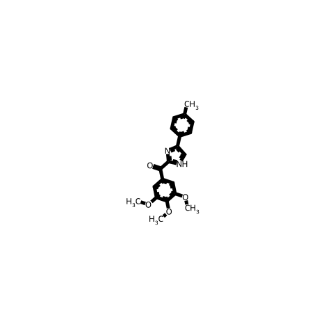 COc1cc(C(=O)c2nc(-c3ccc(C)cc3)c[nH]2)cc(OC)c1OC